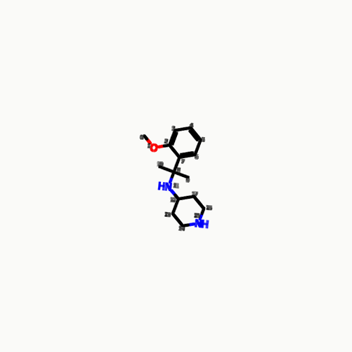 COc1ccccc1C(C)(C)NC1CCNCC1